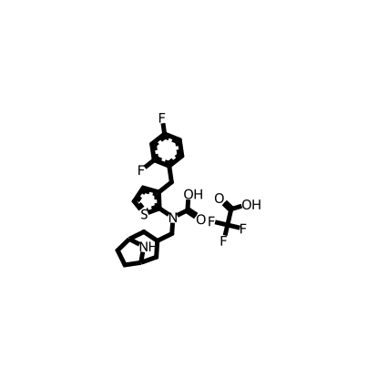 O=C(O)C(F)(F)F.O=C(O)N(CC1CC2CCC(C1)N2)c1sccc1Cc1ccc(F)cc1F